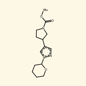 CC(C)(C)OC(=O)N1CCC(c2cnn(C3CCCCO3)c2)C1